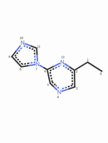 CCc1cncc(-n2ccnc2)n1